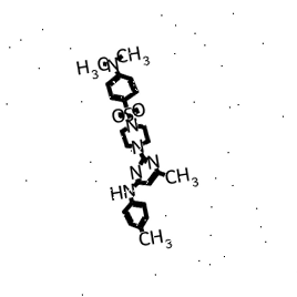 Cc1ccc(Nc2cc(C)nc(N3CCN(S(=O)(=O)c4ccc(N(C)C)cc4)CC3)n2)cc1